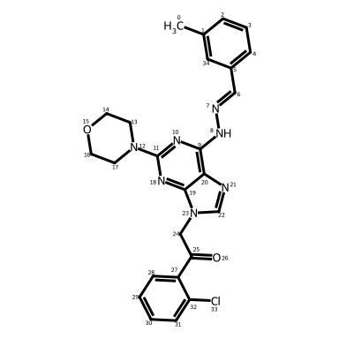 Cc1cccc(/C=N/Nc2nc(N3CCOCC3)nc3c2ncn3CC(=O)c2ccccc2Cl)c1